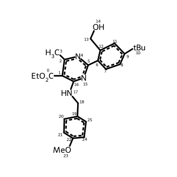 CCOC(=O)c1c(C)nc(-c2ccc(C(C)(C)C)cc2CO)nc1NCc1ccc(OC)cc1